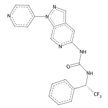 O=C(Nc1cc2cnn(-c3ccncc3)c2cn1)N[C@@H](c1ccccc1)C(F)(F)F